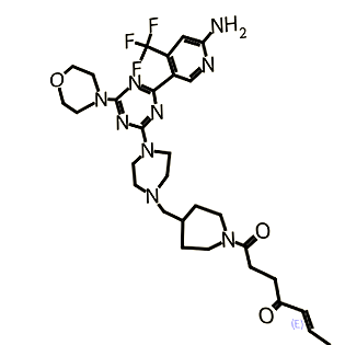 C/C=C/C(=O)CCC(=O)N1CCC(CN2CCN(c3nc(-c4cnc(N)cc4C(F)(F)F)nc(N4CCOCC4)n3)CC2)CC1